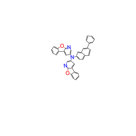 c1ccc(-c2ccc3ccc(N(c4cnc5oc6ccccc6c5c4)c4cnc5oc6ccccc6c5c4)cc3c2)cc1